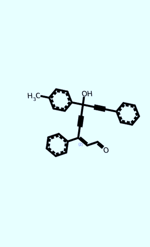 Cc1ccc(C(O)(C#C/C(=C\C=O)c2ccccc2)C#Cc2ccccc2)cc1